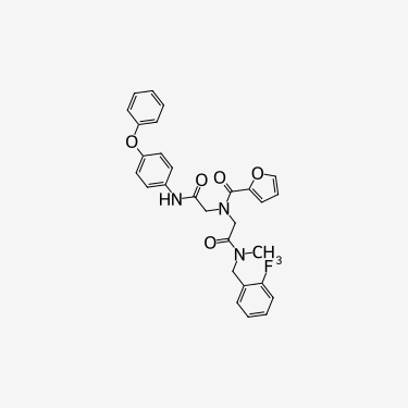 CN(Cc1ccccc1F)C(=O)CN(CC(=O)Nc1ccc(Oc2ccccc2)cc1)C(=O)c1ccco1